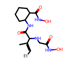 CC/C=C(\C)C(NCC(=O)NO)C(=O)NC1CCCCC1C(=O)NO